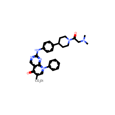 CCOC(=O)c1cn(-c2ccccc2)c2nc(Nc3ccc(C4CCN(C(=O)CN(C)C)CC4)cc3)ncc2c1=O